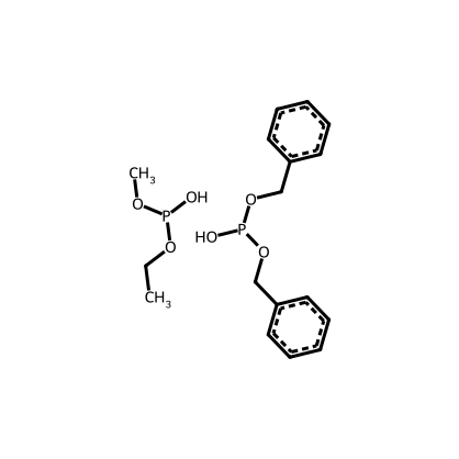 CCOP(O)OC.OP(OCc1ccccc1)OCc1ccccc1